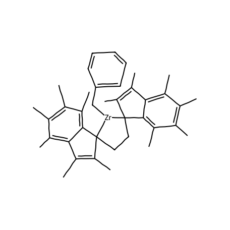 CC1=C(C)[C]2(CC[C]3(C(C)=C(C)c4c(C)c(C)c(C)c(C)c43)[Zr]2[CH2]c2ccccc2)c2c(C)c(C)c(C)c(C)c21